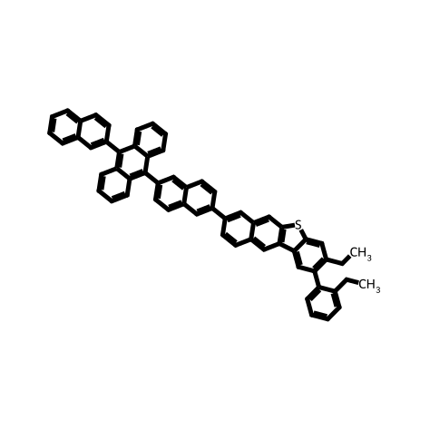 CCc1ccccc1-c1cc2c(cc1CC)sc1cc3cc(-c4ccc5cc(-c6c7ccccc7c(-c7ccc8ccccc8c7)c7ccccc67)ccc5c4)ccc3cc12